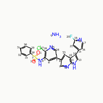 N.O=S(=O)(Nc1cc(-c2cnc3[nH]cc(-c4ccnc(F)c4)c3c2)cnc1Cl)c1ccccc1